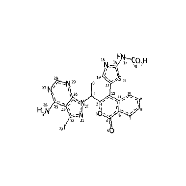 CC(c1oc(=O)c2ccccc2c1-c1cnc(NC(=O)O)s1)n1nc(I)c2c(N)ncnc21